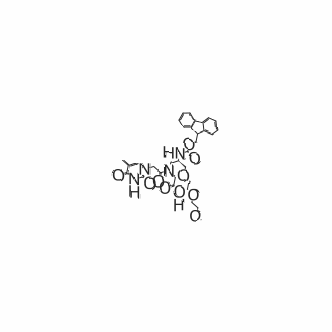 COCCOCCOC[C@@H](CN(CC(=O)O)C(=O)Cn1cc(C)c(=O)[nH]c1=O)NC(=O)OCC1c2ccccc2-c2ccccc21